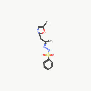 C/C(Cc1ncc(C)o1)=N\NS(=O)(=O)c1ccccc1